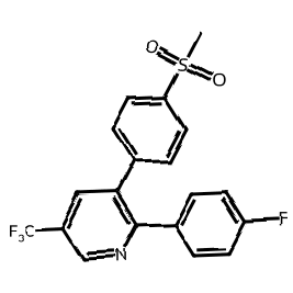 CS(=O)(=O)c1ccc(-c2cc(C(F)(F)F)cnc2-c2ccc(F)cc2)cc1